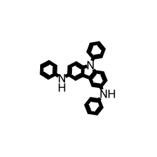 c1ccc(Nc2ccc3c(c2)c2cc(Nc4ccccc4)ccc2n3-c2ccccc2)cc1